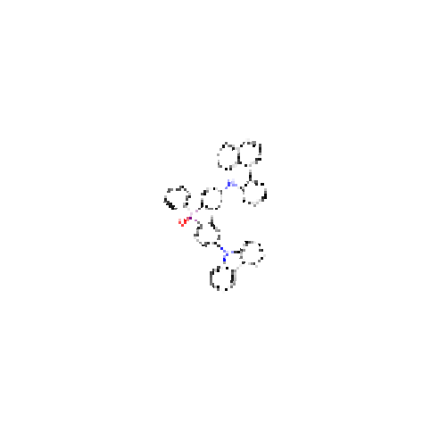 O=P1(c2ccccc2)c2ccc(N3c4ccccc4-c4cccc5cccc3c45)cc2-c2cc(-n3c4ccccc4c4ccccc43)ccc21